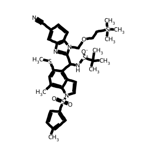 CSc1cc(C)c2c(ccn2S(=O)(=O)c2ccc(C)cc2)c1C(N[S+]([O-])C(C)(C)C)c1nc2cc(C#N)ccc2n1COCC[Si](C)(C)C